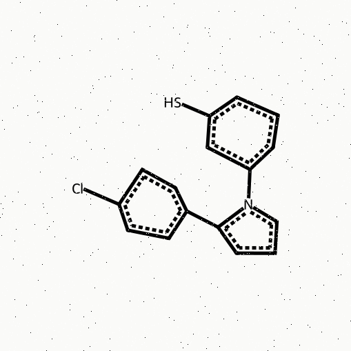 Sc1cccc(-n2cccc2-c2ccc(Cl)cc2)c1